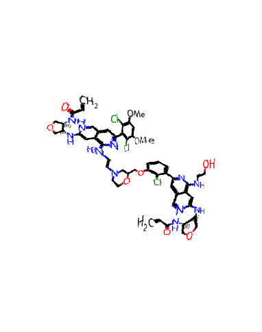 C=CC(=O)N[C@H]1COC[C@H]1Nc1cc2c(NCCO)nc(-c3cccc(OCC4CN(CCNc5nc(-c6c(Cl)c(OC)cc(OC)c6Cl)cc6cnc(N[C@@H]7COC[C@@H]7NC(=O)C=C)cc56)CCO4)c3Cl)cc2cn1